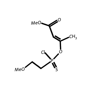 COCCP(=S)(Cl)OC(C)=CC(=O)OC